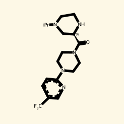 CC(C)N1CCN[C@@H](C(=O)N2CCN(c3ccc(C(F)(F)F)cn3)CC2)C1